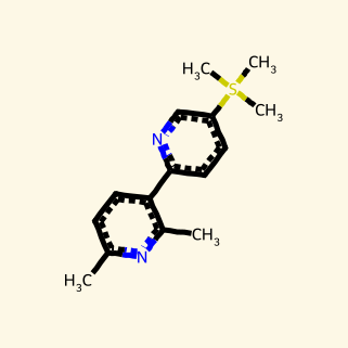 Cc1ccc(-c2ccc(S(C)(C)C)cn2)c(C)n1